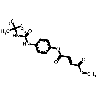 COC(=O)/C=C/C(=O)Oc1ccc(NC(=O)NC(C)(C)C)cc1